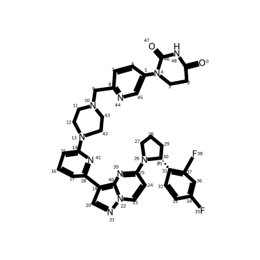 O=C1CCN(c2ccc(CN3CCN(c4cccc(-c5cnn6ccc(N7CCC[C@@H]7c7ccc(F)cc7F)nc56)n4)CC3)nc2)C(=O)N1